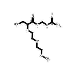 CCC(OCCOCCOC)C(=O)OCOC(C)=O